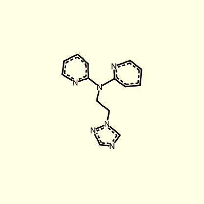 c1ccc(N(CCn2cncn2)c2ccccn2)nc1